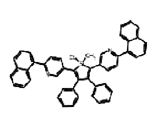 CC[Si]1(C)C(c2ccc(-c3cccc4ccccc34)nc2)=C(c2ccccc2)C(c2ccccc2)=C1c1ccc(-c2cccc3ccccc23)nc1